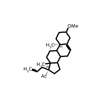 C=CC[C@]1(C(C)=O)CCC2C3CC=C4CC(OC)CC[C@]4(C)C3CCC21C